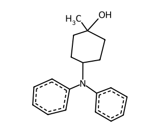 CC1(O)CCC(N(c2ccccc2)c2ccccc2)CC1